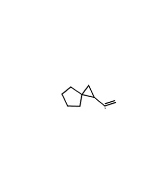 C=[C]C1CC12CCCC2